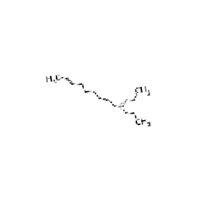 CC=CCCCCCCP(CCC)CCC